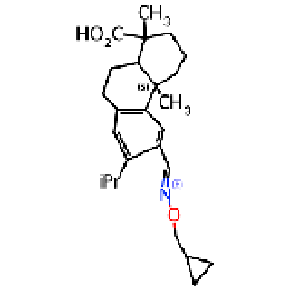 CC(C)c1cc2c(cc1/C=N/OCC1CC1)[C@@]1(C)CCCC(C)(C(=O)O)C1CC2